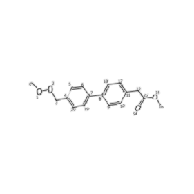 COOCc1ccc(-c2ccc(CC(=O)OC)cc2)cc1